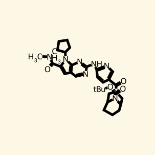 CN(C)C(=O)c1cc2cnc(Nc3ccc(C(=O)N4CC5CCCC(C4)N5C(=O)OC(C)(C)C)cn3)nc2n1C1CCCC1